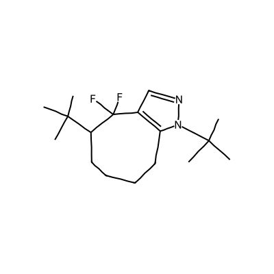 CC(C)(C)C1CCCCc2c(cnn2C(C)(C)C)C1(F)F